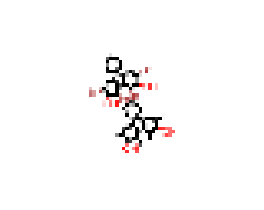 Cc1cc(C2(c3cc(C)c(O)c(C)c3)CCCCC2)cc(C)c1O.Oc1c(Br)cc(C2(c3cc(Br)c(O)c(Br)c3)CCCCC2)cc1Br